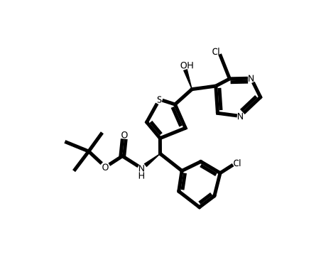 CC(C)(C)OC(=O)N[C@H](c1cccc(Cl)c1)c1csc([C@@H](O)c2cncnc2Cl)c1